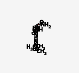 CCOC(=O)C(C)(C)N1CCN(c2ccc(N3CCN(C(=O)NC4[C@@H]5CC6C[C@H]4CC(C(N)=O)(C6)C5)c4ccccc43)cc2)CC1